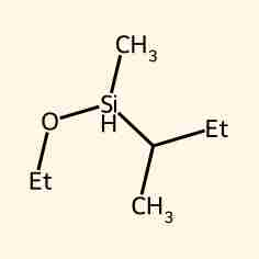 CCO[SiH](C)C(C)CC